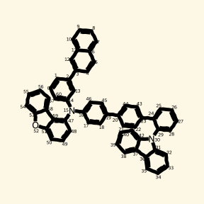 c1cc(-c2ccc3ccccc3c2)cc(N(c2ccc(-c3ccc(-c4ccccc4-n4c5ccccc5c5ccccc54)cc3)cc2)c2cccc3oc4ccccc4c23)c1